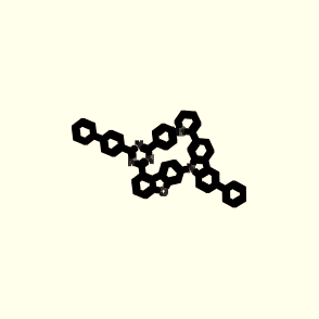 B1CC=CC=C1C1=Cc2c(c3cc(-c4ccccc4)ccc3n2-c2ccc3c(c2)oc2cccc(-c4nc(-c5ccccc5)nc(-c5ccc(C6C=CC=CC6)cc5)n4)c23)CC1